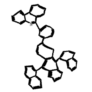 c1cc(-c2ccc3c(-c4cccc5ccccc45)c4ccccc4c(-c4cccc5ccccc45)c3c2)cc(-c2nc3ccccc3c3ccccc23)c1